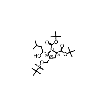 CC(C)CC(O)[C@H]1[C@H](CO[Si](C)(C)C(C)(C)C)C[C@H](C(=O)OC(C)(C)C)N1C(=O)OC(C)(C)C